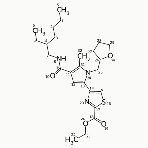 CCCCC(CC)CNC(=O)c1cc(-c2csc(C(=O)OCC)n2)n(CC2CCCO2)c1C